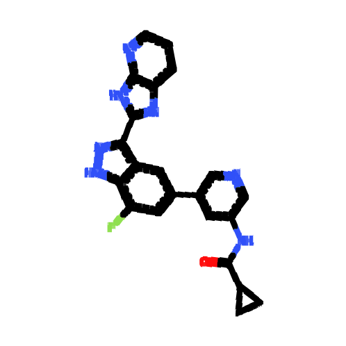 O=C(Nc1cncc(-c2cc(F)c3[nH]nc(-c4nc5cccnc5[nH]4)c3c2)c1)C1CC1